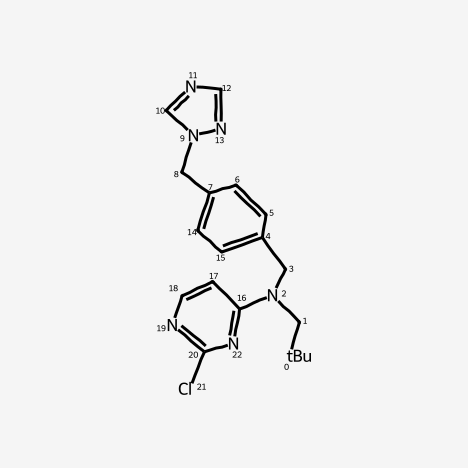 CC(C)(C)CN(Cc1ccc(Cn2cncn2)cc1)c1ccnc(Cl)n1